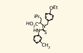 CCOc1ccc(CN(C(=S)Nc2cccc(C)c2)C(CC(C)C)C(=O)O)cc1